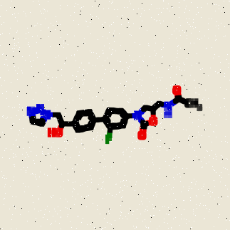 CC(=O)NCC1CN(c2ccc(-c3ccc(C(O)Cn4ccnn4)cc3)c(F)c2)C(=O)O1